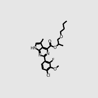 CCCCOCC(C)OC(=O)c1nc(-c2ccc(Cl)c(OC)c2F)nc2[nH]cc(C)c12